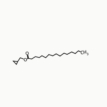 CCCCCCCCCCCCCCCC(=O)OCC1CC1